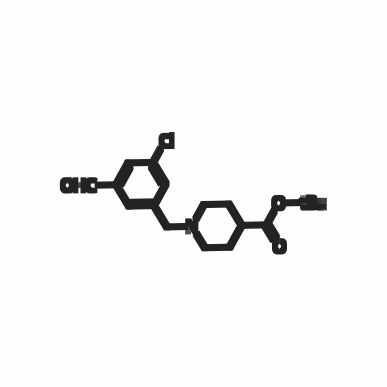 CC(C)(C)OC(=O)C1CCN(Cc2cc(Cl)cc(C=O)c2)CC1